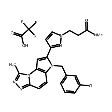 CNC(=O)CCn1ccc(-c2cc3c(ccc4nnc(C)n43)n2Cc2cccc(Cl)c2)n1.O=C(O)C(F)(F)F